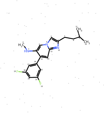 CNc1cn2cc(CCC(C)C)nc2cc1-c1cc(F)cc(F)c1